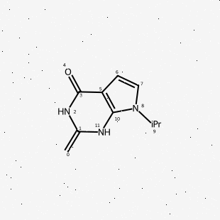 C=C1NC(=O)c2ccn(C(C)C)c2N1